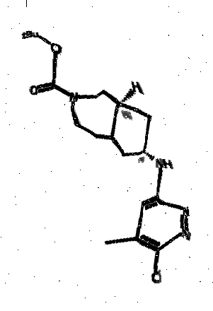 Cc1cc(N[C@@H]2CC3CN(C(=O)OC(C)(C)C)C[C@H]3C2)nnc1Cl